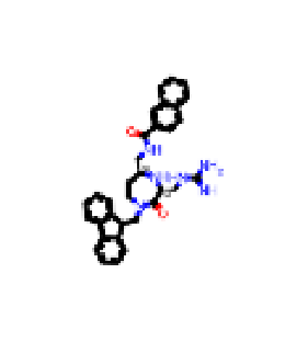 N=C(N)NC[C@@H]1N[C@H](CNC(=O)c2ccc3ccccc3c2)CCN(CC2c3ccccc3-c3ccccc32)C1=O